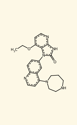 CCOc1ccnc2[nH]c(=O)n(-c3ccc4nccc(N5CCCNCC5)c4c3)c12